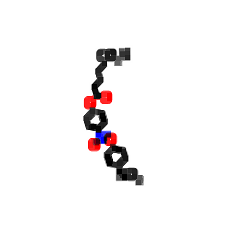 O=C(O)CCCCC(=O)Oc1ccc([N+](=O)Oc2ccc([N+](=O)[O-])cc2)cc1